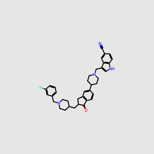 N#Cc1ccc2[nH]cc(CN3CCC(c4ccc5c(c4)CC(CC4CCN(Cc6cccc(F)c6)CC4)C5=O)CC3)c2c1